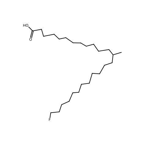 CC(CCCCCCCCCCCCF)CCCCCCCCCCCC(=O)O